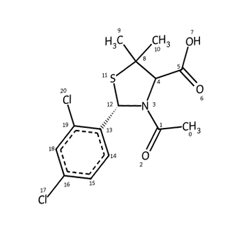 CC(=O)N1C(C(=O)O)C(C)(C)S[C@H]1c1ccc(Cl)cc1Cl